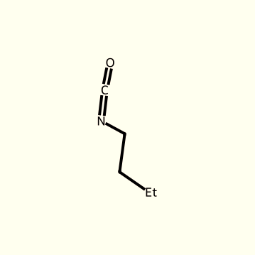 [CH2]CCCN=C=O